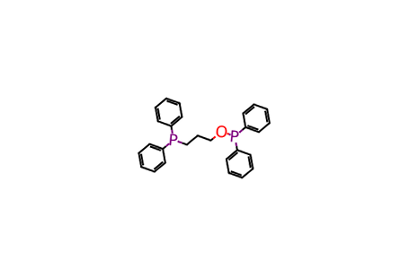 c1ccc(P(CCCOP(c2ccccc2)c2ccccc2)c2ccccc2)cc1